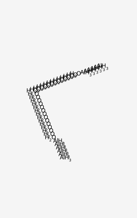 O.O.O.O.O.O.O.O.O.O.O.O.O.O.O.O.O.O.O.O.O.O.O.O.O.O.O.O.[AlH3].[AlH3].[AlH3].[AlH3].[AlH3].[AlH3].[AlH3].[AlH3].[AlH3].[AlH3].[AlH3].[AlH3]